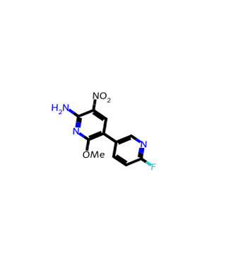 COc1nc(N)c([N+](=O)[O-])cc1-c1ccc(F)nc1